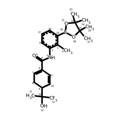 Cc1c(NC(=O)C2=CCC(C(C)(O)C(F)(F)F)C=C2)cccc1B1OC(C)(C)C(C)(C)O1